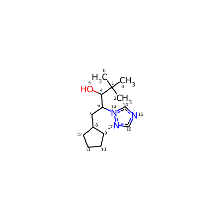 CC(C)(C)C(O)C(CC1CCCC1)n1cncn1